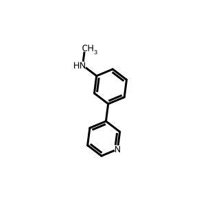 CNc1cccc(-c2cccnc2)c1